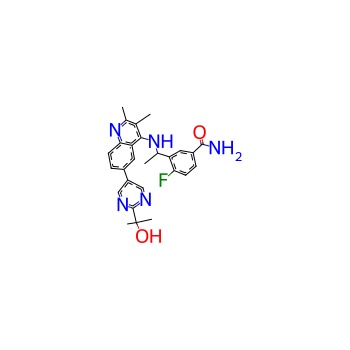 Cc1nc2ccc(-c3cnc(C(C)(C)O)nc3)cc2c(NC(C)c2cc(C(N)=O)ccc2F)c1C